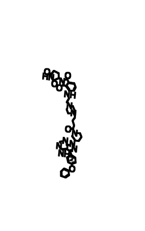 Nc1ncnc2c1c(-c1ccc(Oc3ccccc3)cc1)nn2[C@@H]1CCCN(C(=O)CCCN2CCN(CCNc3cccc4c3C(=O)N(C3CCC(=O)NC3=O)C4=O)CC2)C1